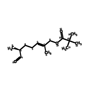 C/C(=C\CC[C@H](C)C=O)COC(=O)C(C)(C)C